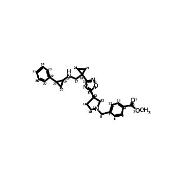 COC(=O)c1ccc(CN2CCC(c3nc(C4(CNC5CC5c5ccccc5)CC4)no3)C2)cc1